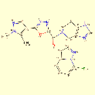 Cc1c(-c2nnc(C(=O)N3CCc4[nH]cnc4[C@@H]3c3cc4cccc(F)n4n3)o2)cnn1C